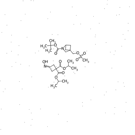 CC(C)(C)OC(=O)N1CC2(COS(C)(=O)=O)CC1C2.CC(C)OC(=O)C1(C(=O)OC(C)C)CC(=NO)C1